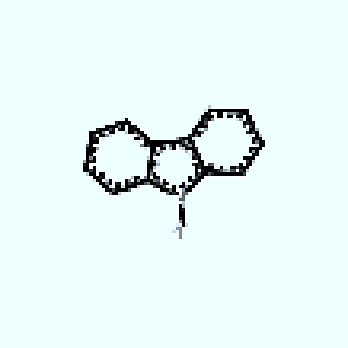 [3H]n1c2ccccc2c2ccccc21